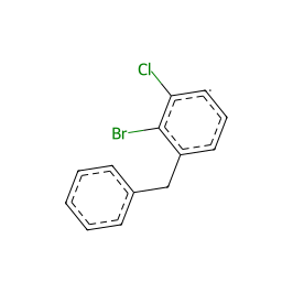 Clc1[c]ccc(Cc2ccccc2)c1Br